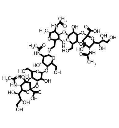 CC(=O)NC1[C@H](OCC2O[C@H](C)C(NC(C)=O)[C@@H](O[C@@H]3OC(CO)[C@H](O)[C@H](O[C@]4(C(=O)O)CC(O)[C@@H](NC(C)=O)C([C@H](O)[C@H](O)CO)O4)C3O)[C@H]2O)OC(CO)[C@@H](O[C@@H]2OC(CO)[C@H](O)[C@H](O[C@]3(C(=O)O)CC(O)[C@@H](NC(C)=O)C([C@H](O)[C@H](O)CO)O3)C2O)[C@@H]1O